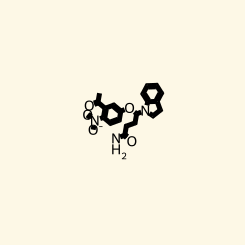 CC(=O)c1cc(OC(CCC(N)=O)N2CCc3ccccc32)ccc1[N+](=O)[O-]